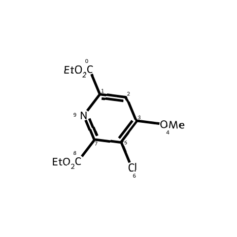 CCOC(=O)c1cc(OC)c(Cl)c(C(=O)OCC)n1